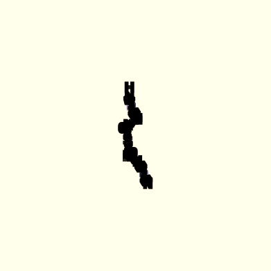 CN(CCCN(C)c1ccc(/C=C/c2ccncc2)cc1)C(=O)CCCSSCCCC(=O)N(C)CCCN(C)c1ccc(/C=C/c2cc[nH]c2)cc1